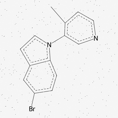 Cc1ccncc1-n1ccc2cc(Br)ccc21